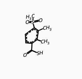 Cc1c(C(=O)S)ccc(S(C)(=O)=O)c1C